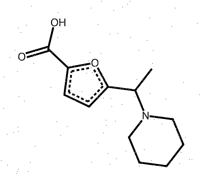 CC(c1ccc(C(=O)O)o1)N1CCCCC1